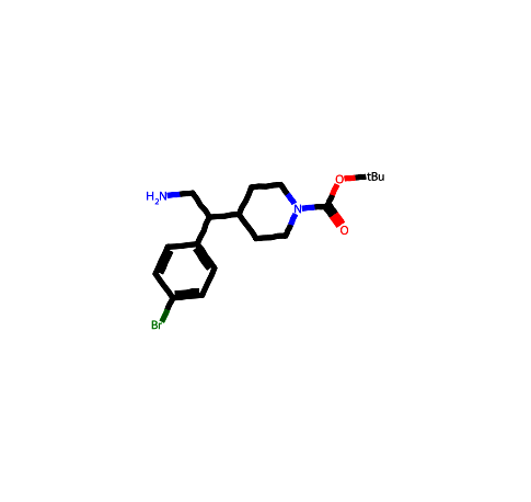 CC(C)(C)OC(=O)N1CCC(C(CN)c2ccc(Br)cc2)CC1